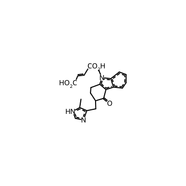 Cc1[nH]cnc1CC1CCc2c(c3ccccc3n2C)C1=O.O=C(O)C=CC(=O)O